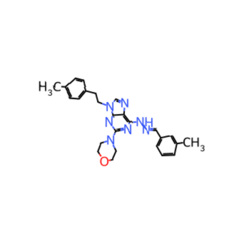 Cc1ccc(CCn2cnc3c(NN=Cc4cccc(C)c4)nc(N4CCOCC4)nc32)cc1